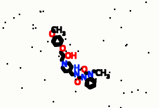 CCn1c(=O)n(C(=O)NCC2CCN(CC(O)COc3ccc(OC)cc3)CC2)c2ccccc21